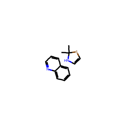 CC1(C)NC=CS1.c1ccc2ncccc2c1